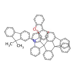 CC1(C)c2ccccc2-c2ccc(N(c3ccccc3C3(c4ccccc4)c4ccccc4C4(c5ccccc5)c5ccccc5-c5cccc3c54)c3cccc4c3oc3ccccc34)cc21